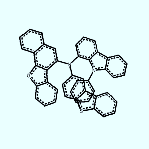 c1ccc(-n2c3ccccc3c3cccc(N(c4ccc5sc6ccccc6c5c4)c4cc5ccccc5c5oc6ccccc6c45)c32)cc1